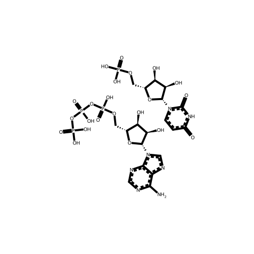 Nc1ncnc2c1ncn2[C@@H]1O[C@H](COP(=O)(O)OP(=O)(O)OP(=O)(O)O)[C@@H](O)[C@H]1O.O=c1ccn([C@@H]2O[C@H](COP(=O)(O)O)[C@@H](O)[C@H]2O)c(=O)[nH]1